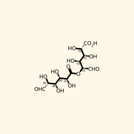 O=C[C@H](O)[C@H](O)[C@@H](O)[C@H](O)C(=O)O[C@H](C=O)[C@@H](O)[C@H](O)[C@H](O)C(=O)O